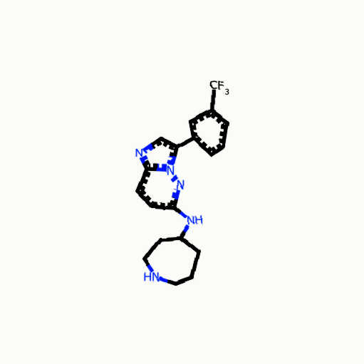 FC(F)(F)c1cccc(-c2cnc3ccc(NC4CCCNCC4)nn23)c1